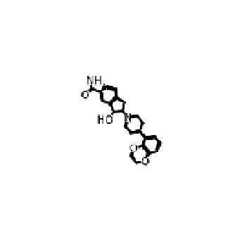 NC(=O)c1ccc2c(c1)C(O)C(N1CCC(c3cccc4c3OCCO4)CC1)C2